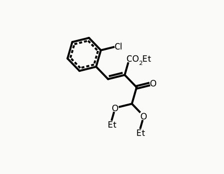 CCOC(=O)/C(=C\c1ccccc1Cl)C(=O)C(OCC)OCC